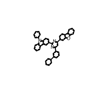 c1ccc(-c2cccc(-c3cc(-c4ccc5c(c4)oc4ccccc45)nc(-c4ccc5c(c4)c4ccccc4n5-c4ccccc4)n3)c2)cc1